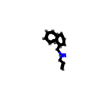 C=CCNCc1cccc2ccccc12